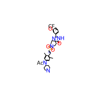 CC(=O)N(c1cc(C)c(/C=C/S(=O)(=O)N2CCC3(CC2)N=C(c2cccc(OC(F)(F)F)c2)NC3=O)c(C)c1)C1CCN(C)CC1